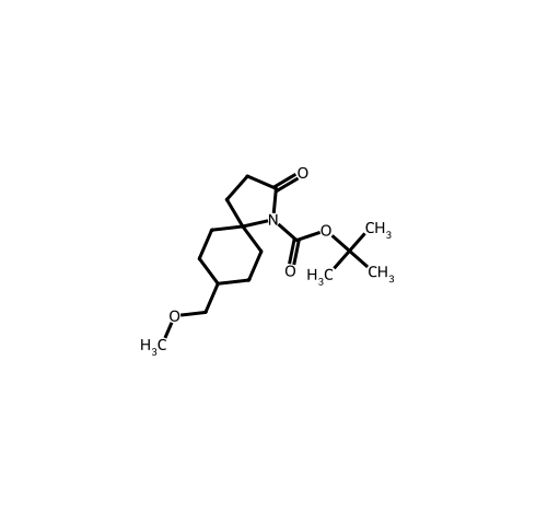 COCC1CCC2(CCC(=O)N2C(=O)OC(C)(C)C)CC1